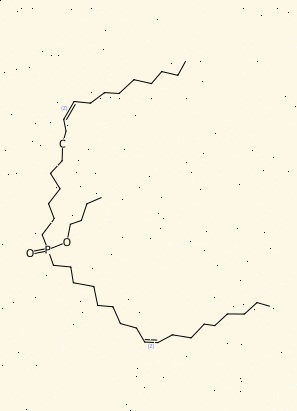 CCCCCCCC/C=C\CCCCCCCCP(=O)(CCCCCCCC/C=C\CCCCCCCC)OCCCC